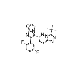 CC(C)(C)c1nnc2ccc(-c3c(-c4cc(F)ccc4F)nc4occn34)nn12